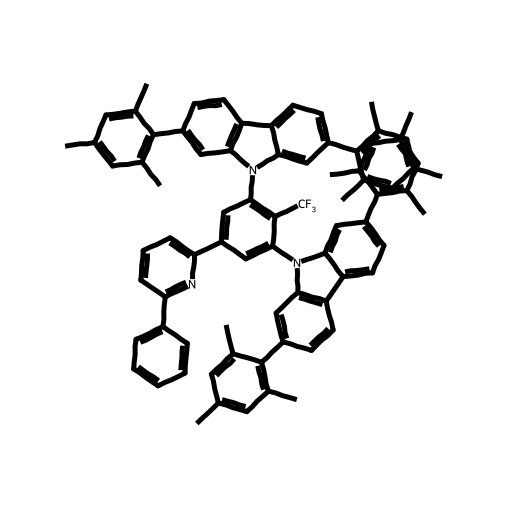 Cc1cc(C)c(-c2ccc3c4ccc(-c5c(C)cc(C)cc5C)cc4n(-c4cc(-c5cccc(-c6ccccc6)n5)cc(-n5c6cc(-c7c(C)cc(C)cc7C)ccc6c6ccc(-c7c(C)cc(C)cc7C)cc65)c4C(F)(F)F)c3c2)c(C)c1